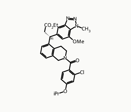 CCOC(=O)C[C@H](c1cc(OC)c2c(c1)nnn2C)c1cccc2c1CCN(C(=O)c1ccc(OC(C)C)cc1Cl)C2